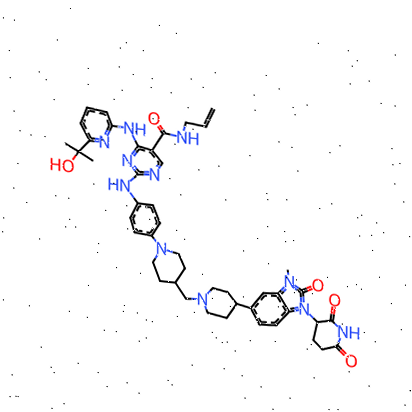 C=CCNC(=O)c1cnc(Nc2ccc(N3CCC(CN4CCC(c5ccc6c(c5)n(C)c(=O)n6C5CCC(=O)NC5=O)CC4)CC3)cc2)nc1Nc1cccc(C(C)(C)O)n1